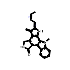 C=c1/c(=C\C=C/C)[nH]c2c1c1c(c3c4ccccc4n(C)c23)C(=O)NC1